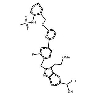 COCCn1c(Cc2ccc(-c3cccc(OCc4ccccc4NS(C)(=O)=O)n3)cc2F)nc2ccc(C(O)O)cc21